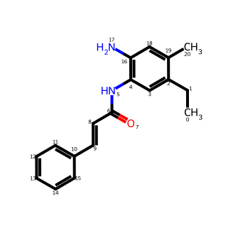 CCc1cc(NC(=O)/C=C/c2ccccc2)c(N)cc1C